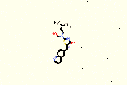 CC(C)CCN(CO)C1=NC(=O)/C(=C/c2ccc3ncccc3c2)S1